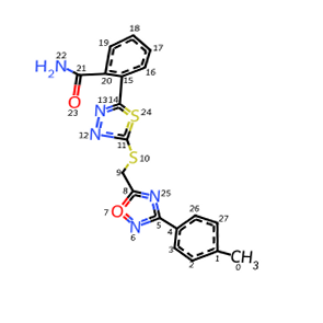 Cc1ccc(-c2noc(CSc3nnc(-c4ccccc4C(N)=O)s3)n2)cc1